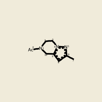 CC(=O)N1CCn2nc(C)cc2C1